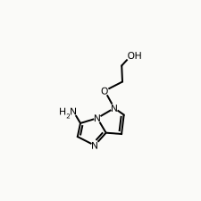 Nc1cnc2ccn(OCCO)n12